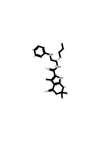 CCCC[C@@H](CNc1ccccc1)NC(=O)c1[nH]c2c(c1C)C(=O)CC(C)(C)C2